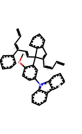 C=C/C=C\C1=Cc2ccccc2C1(/C=C/C(=C\C=C)c1ccccc1)c1cc(-n2c3ccccc3c3ccccc32)ccc1OC